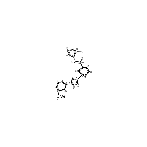 COc1cccc(-c2cn(-c3cccc([C@H](C)Sc4nncn4C)c3)nn2)c1